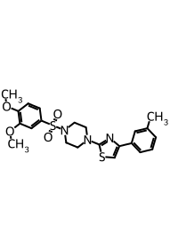 COc1ccc(S(=O)(=O)N2CCN(c3nc(-c4cccc(C)c4)cs3)CC2)cc1OC